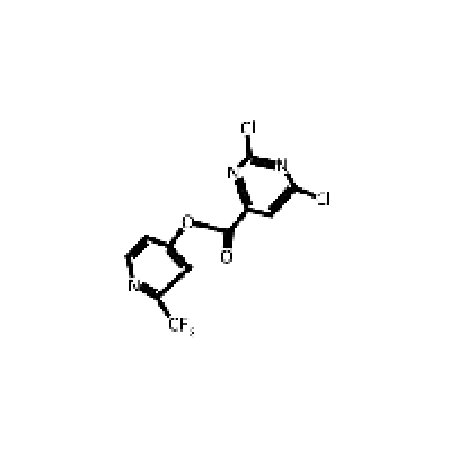 O=C(Oc1ccnc(C(F)(F)F)c1)c1cc(Cl)nc(Cl)n1